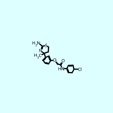 CC1(c2cccc(OCC(=O)NC3=CCC(Cl)C=C3)c2)CCSC(N)=N1